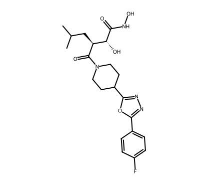 CC(C)C[C@H](C(=O)N1CCC(c2nnc(-c3ccc(F)cc3)o2)CC1)[C@@H](O)C(=O)NO